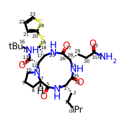 CC(C)CC[C@@H]1NC(=O)[C@@H]2CCCN2[C@H](C(=O)NC(C)(C)C)[C@H](CSc2cccs2)NC(=O)[C@H](CCC(N)=O)NC1=O